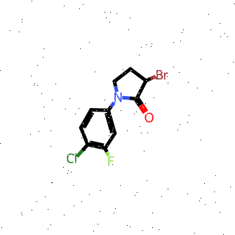 O=C1C(Br)CCN1c1ccc(Cl)c(F)c1